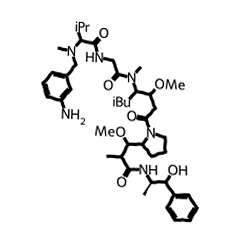 CCC(C)C(C(CC(=O)N1CCCC1C(OC)C(C)C(=O)N[C@H](C)C(O)c1ccccc1)OC)N(C)C(=O)CNC(=O)C(C(C)C)N(C)Cc1cccc(N)c1